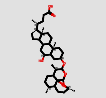 C[C@H]1C(O[C@@H]2CC[C@]3(C)C4CC[C@@]5(C)C(CC[C@@H]5[C@H](C)CCC(=O)O)C4C[C@H](O)C3C2)OC2O[C@]3(C)CCC4[C@H](C)CCC1C24OO3